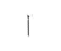 CCCCCCCCCCCCCCCCCCCCCCCCC[CH]N